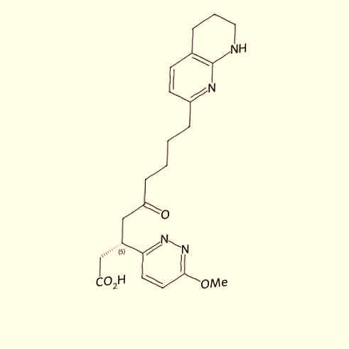 COc1ccc([C@H](CC(=O)O)CC(=O)CCCCc2ccc3c(n2)NCCC3)nn1